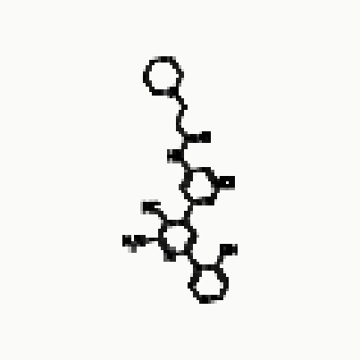 Cl.N#Cc1c(-c2cccc(NC(=O)CCN3CCCCC3)c2)cc(-c2ccccc2O)nc1N